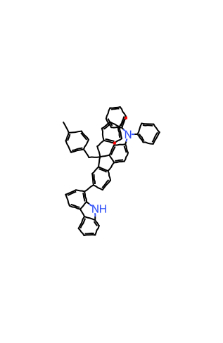 Cc1ccc(CC2(Cc3ccc(C)cc3)c3cc(-c4cccc5c4[nH]c4ccccc45)ccc3-c3ccc(N(c4ccccc4)c4ccccc4)cc32)cc1